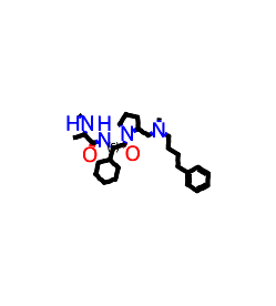 CNC(C)C(=O)N[C@H](C(=O)N1CCCC1CN(C)CCCCc1ccccc1)C1CCCCC1